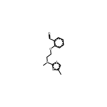 Cc1csc(N(C)CCOc2ccccc2C=O)n1